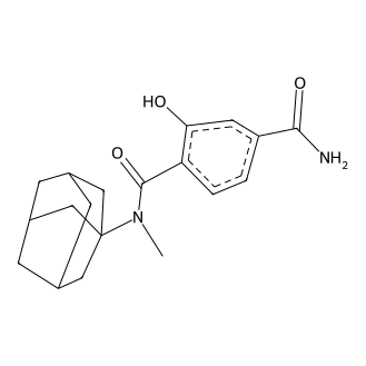 CN(C(=O)c1ccc(C(N)=O)cc1O)C12CC3CC(CC(C3)C1)C2